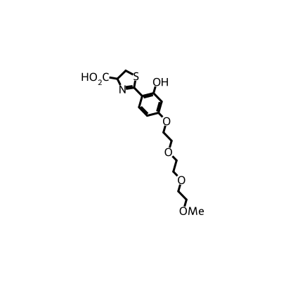 COCCOCCOCCOc1ccc(C2=NC(C(=O)O)CS2)c(O)c1